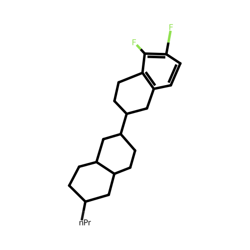 CCCC1CCC2CC(C3CCc4c(ccc(F)c4F)C3)CCC2C1